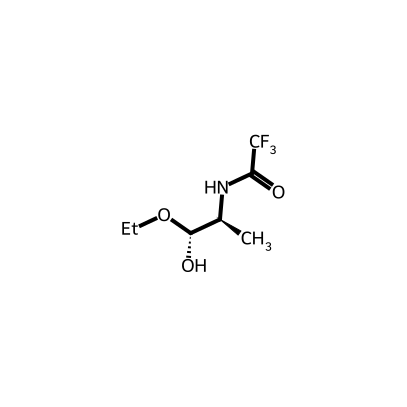 CCO[C@@H](O)[C@H](C)NC(=O)C(F)(F)F